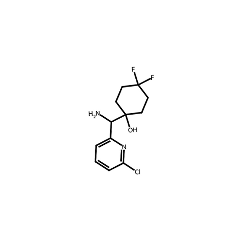 NC(c1cccc(Cl)n1)C1(O)CCC(F)(F)CC1